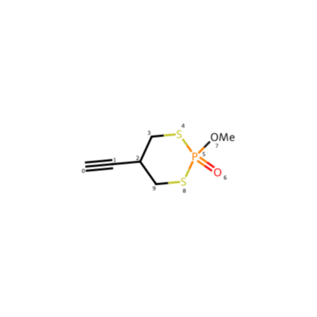 C#CC1CSP(=O)(OC)SC1